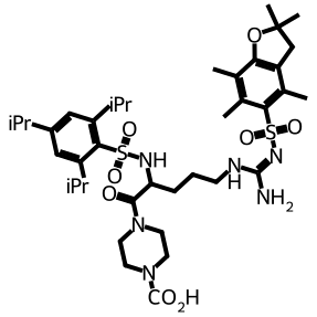 Cc1c(C)c(S(=O)(=O)N=C(N)NCCCC(NS(=O)(=O)c2c(C(C)C)cc(C(C)C)cc2C(C)C)C(=O)N2CCN(C(=O)O)CC2)c(C)c2c1OC(C)(C)C2